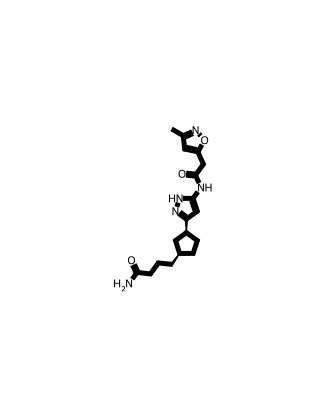 Cc1cc(CC(=O)Nc2cc([C@H]3CC[C@@H](CCCC(N)=O)C3)n[nH]2)on1